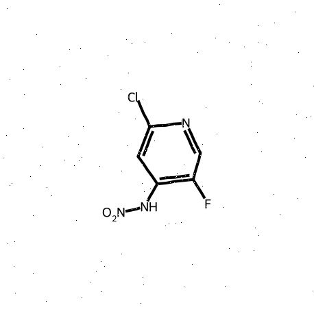 O=[N+]([O-])Nc1cc(Cl)ncc1F